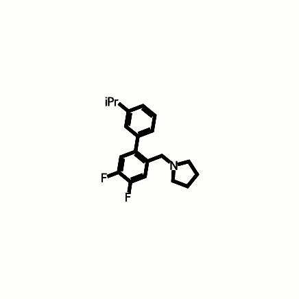 CC(C)c1cccc(-c2cc(F)c(F)cc2CN2CCCC2)c1